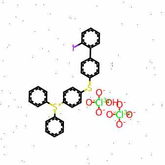 Ic1ccccc1-c1ccc(Sc2ccc([S+](c3ccccc3)c3ccccc3)cc2)cc1.[O-][Cl+3]([O-])([O-])O.[O-][Cl+3]([O-])([O-])[O-]